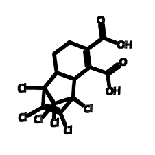 O=C(O)C1=C(C(=O)O)C2C(CC1)C1(Cl)C(Cl)=C(Cl)C2(Cl)C1(Cl)Cl